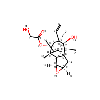 C=C[C@]1(C)C[C@@H](OC(=O)CO)[C@]2(C)C(C)CC[C@]3(C[C@H]4O[C@H]4C32)[C@@H](C)[C@@H]1O